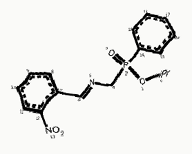 CC(C)OP(=O)(C/N=C/c1ccccc1[N+](=O)[O-])c1ccccc1